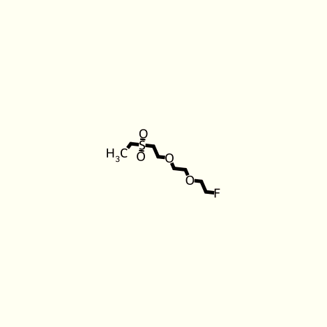 CCS(=O)(=O)CCOCCOCCF